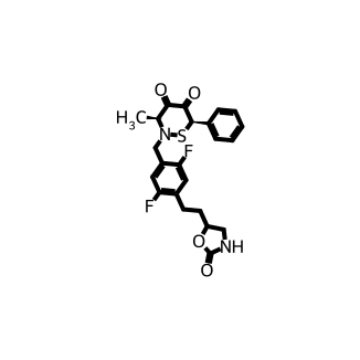 C[C@H]1C(=O)C(=O)[C@@H](c2ccccc2)SN1Cc1cc(F)c(CCC2CNC(=O)O2)cc1F